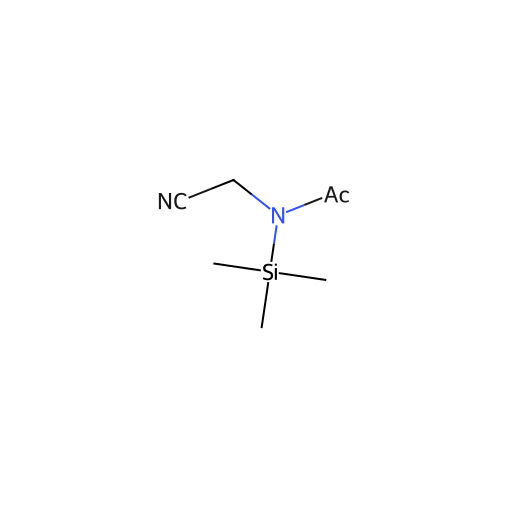 CC(=O)N(CC#N)[Si](C)(C)C